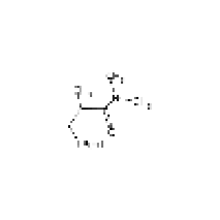 CCCCCCC(C)C(=O)N(C)C